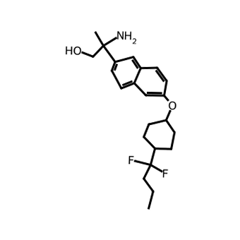 CCCC(F)(F)C1CCC(Oc2ccc3cc(C(C)(N)CO)ccc3c2)CC1